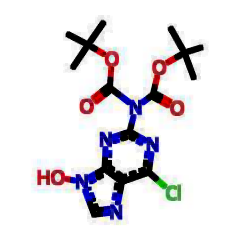 CC(C)(C)OC(=O)N(C(=O)OC(C)(C)C)c1nc(Cl)c2ncn(O)c2n1